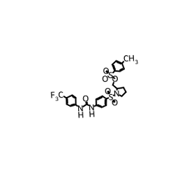 Cc1ccc(S(=O)(=O)OCC2CCCN2S(=O)(=O)c2ccc(NC(=O)Nc3ccc(C(F)(F)F)cc3)cc2)cc1